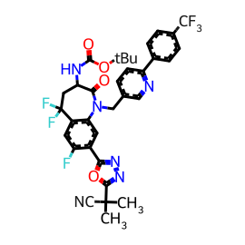 CC(C)(C)OC(=O)NC1CC(F)(F)c2cc(F)c(-c3nnc(C(C)(C)C#N)o3)cc2N(Cc2ccc(-c3ccc(C(F)(F)F)cc3)nc2)C1=O